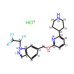 Cl.FC(F)C(F)n1ncc2ccc(COc3cccc(C4CCNCC4)n3)cc21